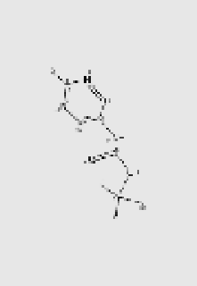 Cc1ncc(NC(=O)OC(C)(C)C)nn1